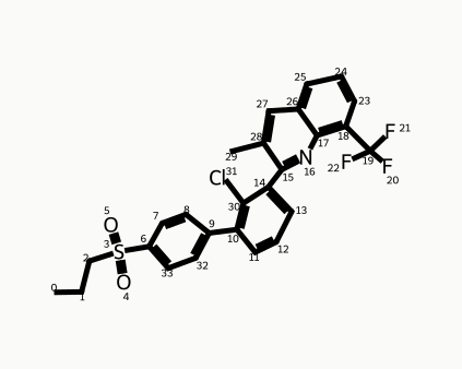 CCCS(=O)(=O)c1ccc(-c2cccc(-c3nc4c(C(F)(F)F)cccc4cc3C)c2Cl)cc1